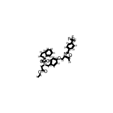 CCOC(=O)CN(Cc1ccc(OCc2nc(-c3ccc(C(F)(F)F)cc3)oc2C)cc1)S(=O)(=O)N1CCc2ccccc21